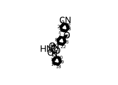 N#Cc1ccc(Oc2ccc(N3ONON(c4ccccc4)O3)cc2)cc1